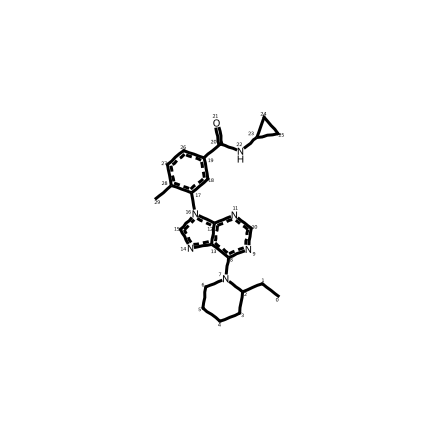 CCC1CCCCN1c1ncnc2c1ncn2-c1cc(C(=O)NC2CC2)ccc1C